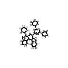 c1ccc(-c2nc(-c3ccccc3)nc(-c3cc4c(-c5ccccc5)nc5ccccc5c4c4c3oc3ccccc34)n2)cc1